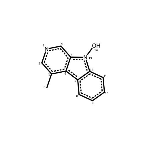 Cc1cncc2c1c1ccccc1n2O